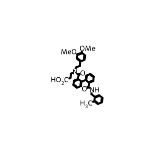 COc1ccc(CCN(CCC(=O)O)C(=O)c2ccccc2-c2ccccc2C(=O)NCc2ccccc2C)cc1OC